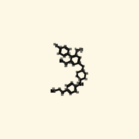 CCOc1cc(CN2CCC(Nc3ccc(OCC#N)cn3)CC2)cc(OCC)c1-c1ccc(F)cc1